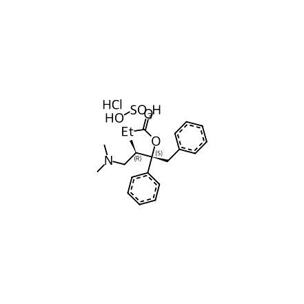 CCC(=O)O[C@](Cc1ccccc1)(c1ccccc1)[C@H](C)CN(C)C.Cl.O=S(=O)(O)O